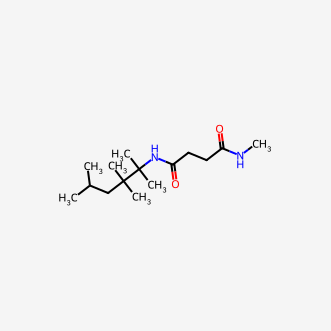 CNC(=O)CCC(=O)NC(C)(C)C(C)(C)CC(C)C